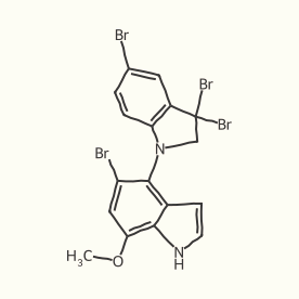 COc1cc(Br)c(N2CC(Br)(Br)c3cc(Br)ccc32)c2cc[nH]c12